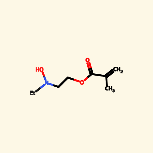 C=C(C)C(=O)OCCN(O)CC